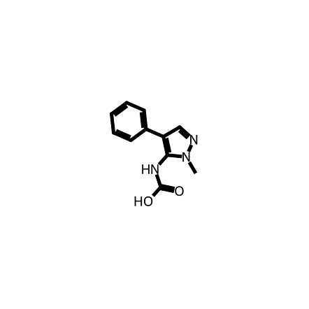 Cn1ncc(-c2ccccc2)c1NC(=O)O